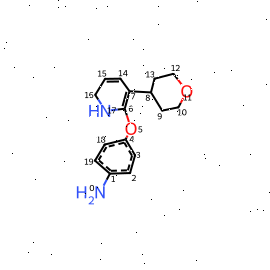 Nc1ccc(OC2=C(C3CCOCC3)C=CCN2)cc1